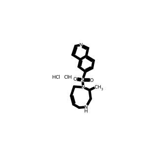 CC1CNCC=CCN1S(=O)(=O)c1ccc2cnccc2c1.Cl.Cl